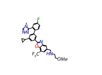 COCCNCc1cc(C(F)(F)F)c2oc(-c3cc(-c4ccc(F)cc4-c4nncn4C)cc(C4CC4)c3)nc2c1